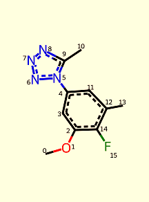 COc1cc(-n2nnnc2C)cc(C)c1F